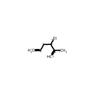 [CH]=C(C)C(CC)CC=C